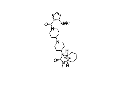 CSc1ccsc1C(=O)N1CCC(N2CCC(N3C(=O)N(C)[C@H]4CCCC[C@@H]43)CC2)CC1